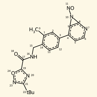 Cc1cc(-c2ccnc3c2N3N=O)ccc1CNC(=O)c1nc(C(C)(C)C)no1